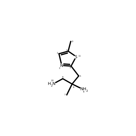 Cc1cnc(CC(C)(N)CN)s1